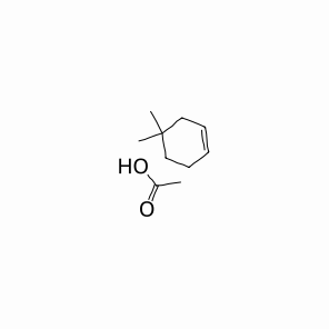 CC(=O)O.CC1(C)CC=CCC1